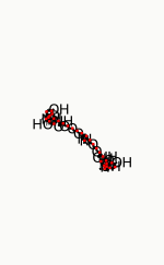 CN1CC[C@]23c4c5ccc(O)c4O[C@H]2[C@@H](NC(=O)COCCOCCOCc2cn(CCOCCOCC(=O)N[C@H]4CC[C@@]6(O)C7Cc8ccc(O)c9c8[C@@]6(CCN7C)[C@H]4O9)nn2)CC[C@@]3(O)C1C5